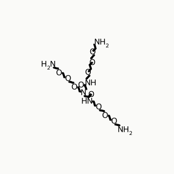 NCCOCCOCCOCCNC(=O)CN(CCOCCOCCOCCN)CC(=O)NCCOCCOCCOCCN